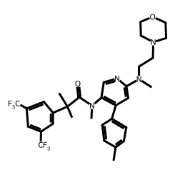 Cc1ccc(-c2cc(N(C)CCN3CCOCC3)ncc2N(C)C(=O)C(C)(C)c2cc(C(F)(F)F)cc(C(F)(F)F)c2)cc1